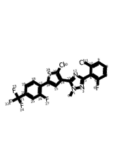 Cn1nc(-c2c(F)cccc2Cl)nc1-c1cc(-c2ccc(C(F)(F)F)cc2F)sc1Cl